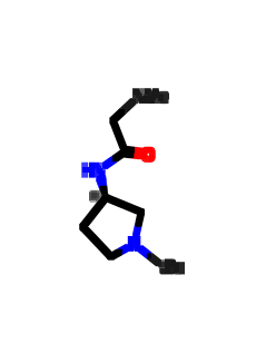 CNCC(=O)N[C@@H]1CCN(C(C)(C)C)C1